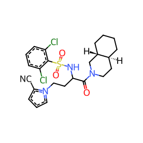 N#Cc1cccn1CCC(NS(=O)(=O)c1c(Cl)cccc1Cl)C(=O)N1CC[C@@H]2CCCC[C@H]2C1